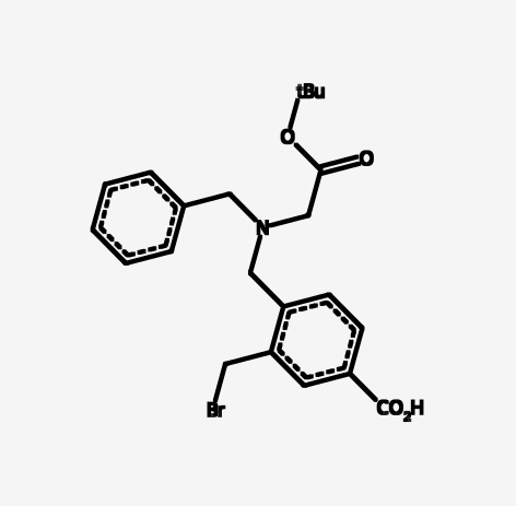 CC(C)(C)OC(=O)CN(Cc1ccccc1)Cc1ccc(C(=O)O)cc1CBr